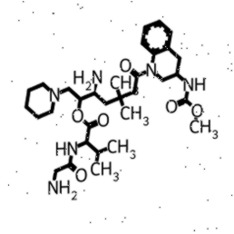 COC(=O)NC1Cc2ccccc2N(C(=O)CC(C)(C)C[C@H](N)C(CN2CCCCC2)OC(=O)C(NC(=O)CN)C(C)C)C1